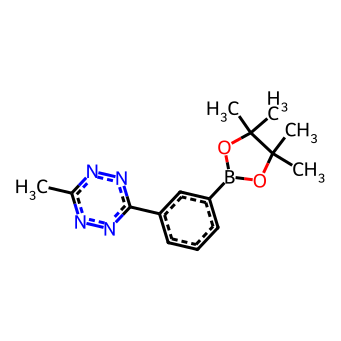 Cc1nnc(-c2cccc(B3OC(C)(C)C(C)(C)O3)c2)nn1